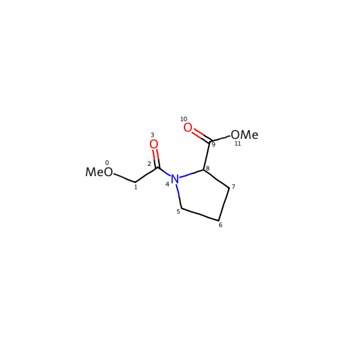 COCC(=O)N1CCCC1C(=O)OC